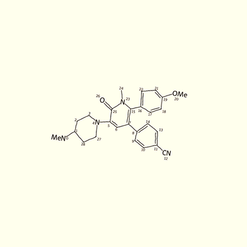 CNC1CCN(c2cc(-c3ccc(C#N)cc3)c(-c3ccc(OC)cc3)n(C)c2=O)CC1